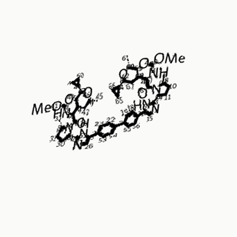 COC(=O)N[C@H](C(=O)N1[C@@H](C)CC[C@H]1c1ncc(-c2ccc(-c3ccc(-c4cnc([C@@H]5CC[C@H](C)N5C(=O)[C@@H](NC(=O)OC)[C@@H]5C[C@@H](C)O[C@H](C6CC6)C5)[nH]4)cc3)cc2)[nH]1)[C@@H]1C[C@@H](C)O[C@H](C2CC2)C1